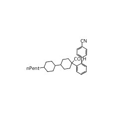 CCCCCC1CCC(C2CCC(C(=O)O)(c3ccccc3-c3ccc(C#N)cc3)CC2)CC1